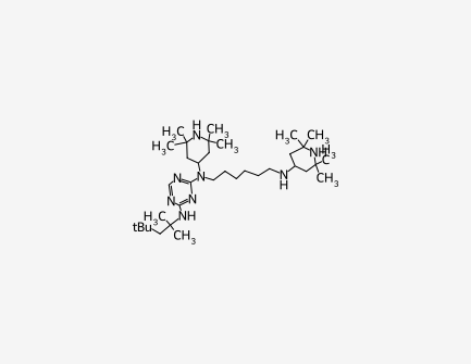 CC(C)(C)CC(C)(C)Nc1ncnc(N(CCCCCCNC2CC(C)(C)NC(C)(C)C2)C2CC(C)(C)NC(C)(C)C2)n1